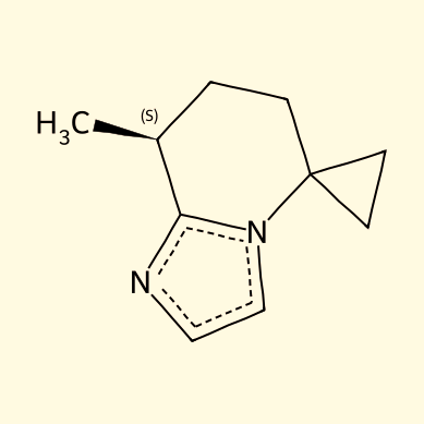 C[C@H]1CCC2(CC2)n2ccnc21